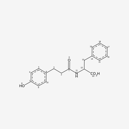 O=C(CCc1ccc(O)cc1)NC(Cc1ccccc1)C(=O)O